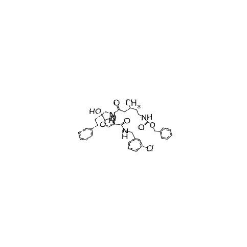 CC(CCNC(=O)OCc1ccccc1)CC(=O)NCC(O)(CCc1ccccc1)c1nc(C(=O)NCc2cccc(Cl)c2)co1